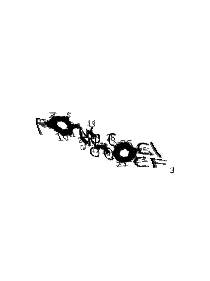 C[C@@H]1CN(Cc2ccc(F)cc2)[C@@H](C)CN1C(=O)COc1cc(C(F)(F)F)c(Cl)cc1C(=O)O